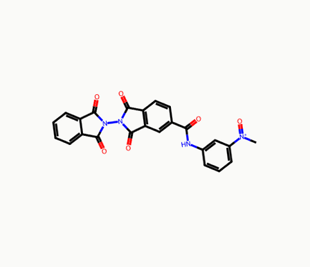 C[N+](=O)c1cccc(NC(=O)c2ccc3c(c2)C(=O)N(N2C(=O)c4ccccc4C2=O)C3=O)c1